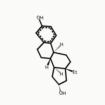 CC[C@]12CC[C@@H]3c4ccc(O)cc4CC[C@H]3[C@@H]1C[C@@H](O)C2